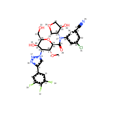 CO[C@@H]1[C@@H](n2cc(-c3cc(F)c(F)c(F)c3)nn2)[C@@H](O)[C@@H](CO)O[C@H]1C(=O)N(c1cc(Cl)cc(C#N)c1)[C@@H]1COC[C@H]1O